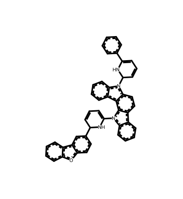 C1=CC(c2ccc3oc4ccccc4c3c2)NC(n2c3ccccc3c3ccc4c(c5ccccc5n4C4C=CC=C(c5ccccc5)N4)c32)=C1